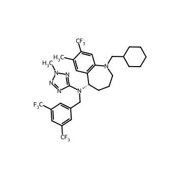 Cc1cc2c(cc1C(F)(F)F)N(CC1CCCCC1)CCC[C@@H]2N(Cc1cc(C(F)(F)F)cc(C(F)(F)F)c1)c1nnn(C)n1